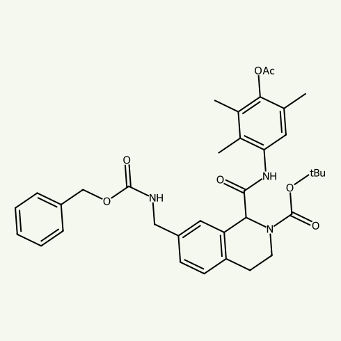 CC(=O)Oc1c(C)cc(NC(=O)C2c3cc(CNC(=O)OCc4ccccc4)ccc3CCN2C(=O)OC(C)(C)C)c(C)c1C